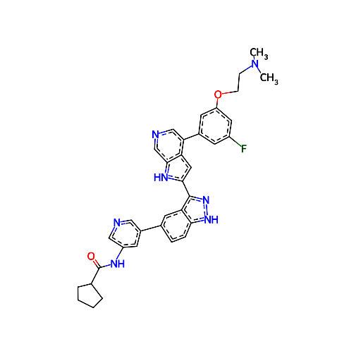 CN(C)CCOc1cc(F)cc(-c2cncc3[nH]c(-c4n[nH]c5ccc(-c6cncc(NC(=O)C7CCCC7)c6)cc45)cc23)c1